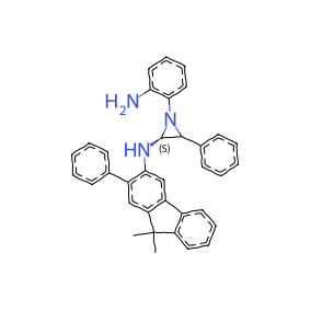 CC1(C)c2ccccc2-c2cc(N[C@@H]3C(c4ccccc4)N3c3ccccc3N)c(-c3ccccc3)cc21